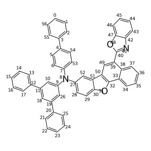 c1ccc(-c2ccc(N(c3cc(-c4ccccc4)cc(-c4ccccc4)c3)c3ccc4oc5c6ccccc6c(-c6nc7ccccc7o6)cc5c4c3)cc2)cc1